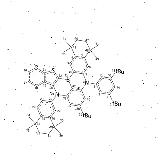 CC(C)(C)c1cc(N2c3cc4c(cc3B3c5sc6ccccc6c5N(c5ccc6c(c5)C(C)(C)CCC6(C)C)c5cc(C(C)(C)C)cc2c53)C(C)(C)CCC4(C)C)cc(C(C)(C)C)c1